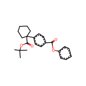 CC(C)(C)OC(=O)C1(c2ccc(C(=O)Oc3ccccc3)cc2)CCCCC1